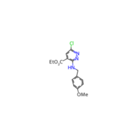 CCOC(=O)c1cc(Cl)nnc1NCc1ccc(OC)cc1